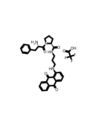 N[C@@H](Cc1ccccc1)C(=O)N1CCC[C@H]1C(=O)NCCCNc1cccc2c1C(=O)c1ccccc1C2=O.O=C(O)C(F)(F)F